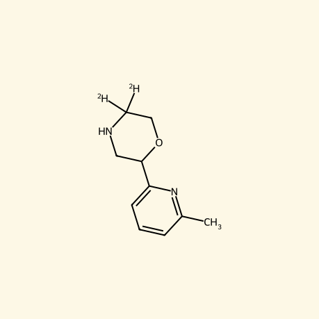 [2H]C1([2H])COC(c2cccc(C)n2)CN1